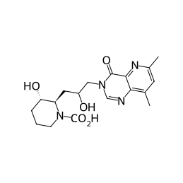 Cc1cc(C)c2ncn(CC(O)C[C@@H]3[C@@H](O)CCCN3C(=O)O)c(=O)c2n1